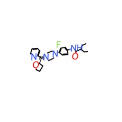 CCC(CC)C(=O)Nc1ccc(N2CCN([C@H](c3ccccn3)C3CCCO3)CC2)c(F)c1